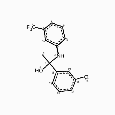 CC(O)(Nc1cccc(C(F)(F)F)c1)c1cccc(Cl)c1